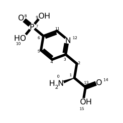 N[C@@H](Cc1ccc(P(=O)(O)O)cn1)C(=O)O